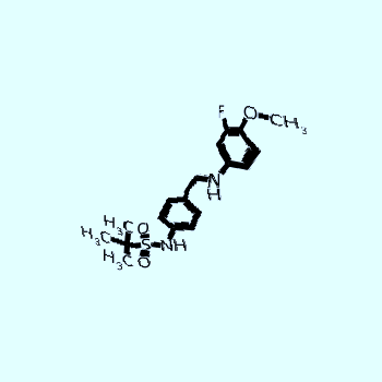 COc1ccc(NCc2ccc(NS(=O)(=O)C(C)(C)C)cc2)cc1F